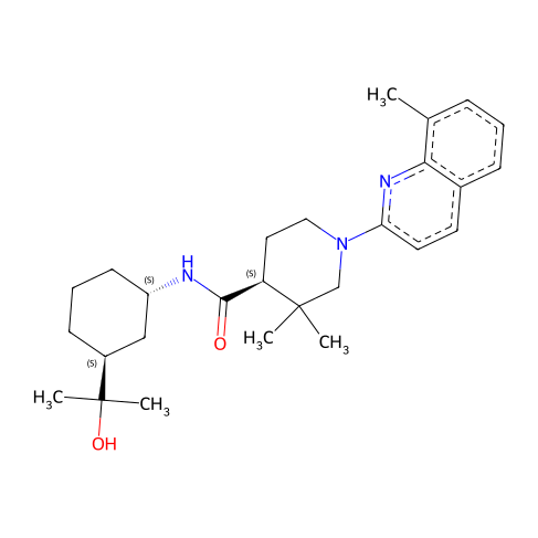 Cc1cccc2ccc(N3CC[C@H](C(=O)N[C@H]4CCC[C@H](C(C)(C)O)C4)C(C)(C)C3)nc12